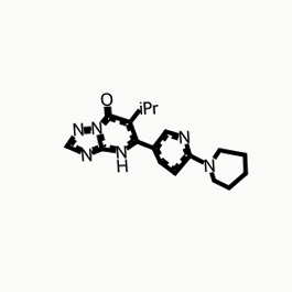 CC(C)c1c(-c2ccc(N3CCCCC3)nc2)[nH]c2ncnn2c1=O